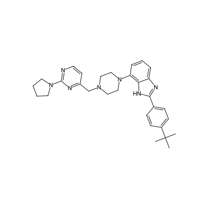 CC(C)(C)c1ccc(-c2nc3cccc(N4CCN(Cc5ccnc(N6CCCC6)n5)CC4)c3[nH]2)cc1